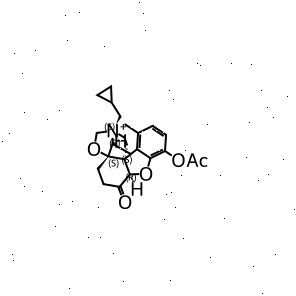 CC(=O)Oc1ccc(C)c2c1O[C@H]1C(=O)CC[C@]34OC[N@+](CC5CC5)(CC[C@]213)[C@@H]4C